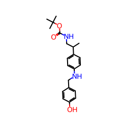 CC(CNC(=O)OC(C)(C)C)c1ccc(NCc2ccc(O)cc2)cc1